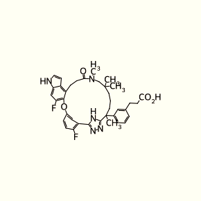 CN1CC(C)(C)CCCC(C)(c2cccc(CCC(=O)O)c2)c2nnc([nH]2)-c2cc(ccc2F)Oc2c(F)cc3[nH]ccc3c2CCC1=O